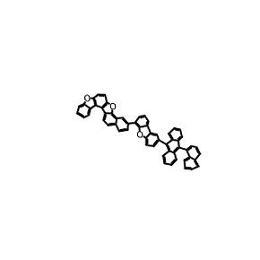 c1ccc2c(-c3c4ccccc4c(-c4ccc5oc6c(-c7ccc8ccc9c(oc%10ccc%11oc%12ccccc%12c%11c%109)c8c7)cccc6c5c4)c4ccccc34)cccc2c1